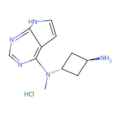 CN(c1ncnc2[nH]ccc12)[C@H]1C[C@H](N)C1.Cl